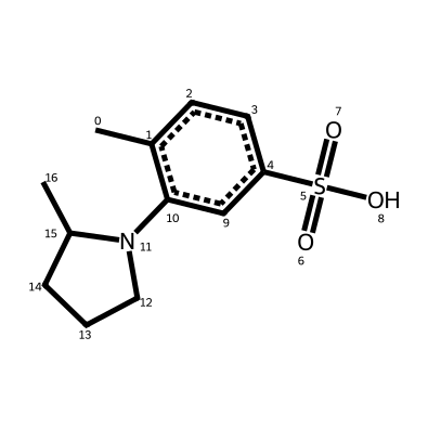 Cc1ccc(S(=O)(=O)O)cc1N1CCCC1C